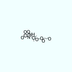 COc1cc(OC)c2c(=O)[nH]c(-c3cc(C)c(OCCOC(=O)CCC=O)c(C)c3)nc2c1